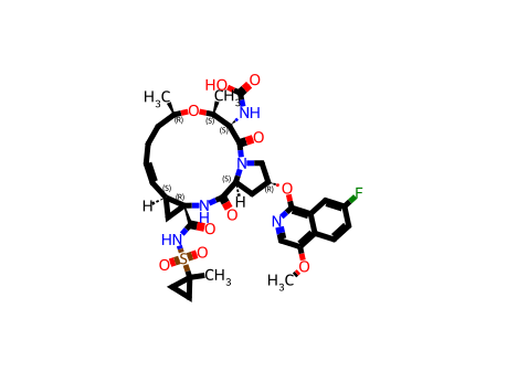 COc1cnc(O[C@@H]2C[C@H]3C(=O)N[C@]4(C(=O)NS(=O)(=O)C5(C)CC5)C[C@H]4C=CCC[C@@H](C)O[C@@H](C)[C@H](NC(=O)O)C(=O)N3C2)c2cc(F)ccc12